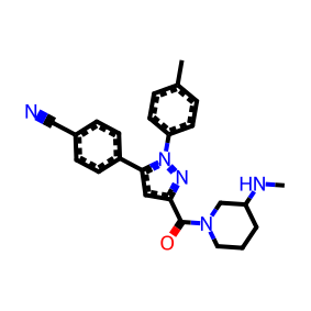 CNC1CCCN(C(=O)c2cc(-c3ccc(C#N)cc3)n(-c3ccc(C)cc3)n2)C1